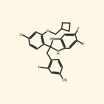 N#Cc1ccc(CC2(c3ccc(Cl)cc3OCC3CCC3)Nc3cc(F)c(F)cc3N2)c(F)c1